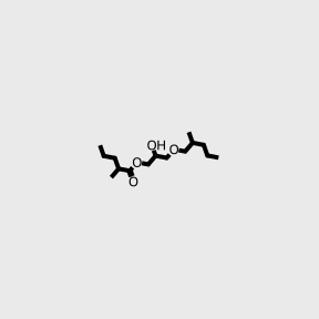 CCCC(C)COCC(O)COC(=O)C(C)CCC